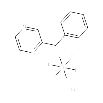 [F][Sb-]([F])([F])([F])([F])[F].[Na+].c1ccc(Cc2cnccn2)cc1